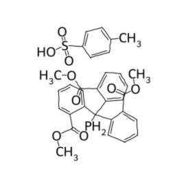 COC(=O)c1ccccc1C(P)(c1ccccc1C(=O)OC)c1ccccc1C(=O)OC.Cc1ccc(S(=O)(=O)O)cc1